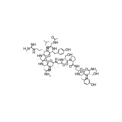 CC(=O)N[C@@H](CC(C)C)C(=O)N[C@@H](Cc1ccc(O)cc1)C(=O)N[C@@H](CCCNC(=N)N)C(=O)N[C@@H](C)C(=O)N[C@@H](CC(N)=O)C(=O)N[C@@H](C)C(=O)N[C@@H](C)C(=O)N[C@@H](CO)C(=O)N1CCC[C@H]1C(=O)NCC(O)N[C@@H](Cc1ccc(O)cc1)C(=O)N[C@@H](CO)C(N)=O